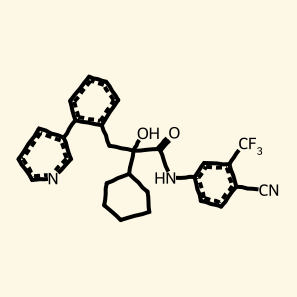 N#Cc1ccc(NC(=O)C(O)(Cc2ccccc2-c2cccnc2)C2CCCCC2)cc1C(F)(F)F